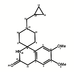 COc1cc2c(cc1OC)C1(CCN(CC3CC3)CC1)NC(=O)C2